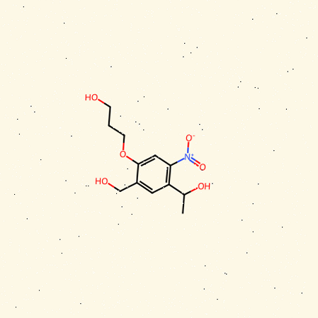 CC(O)c1cc(CO)c(OCCCO)cc1[N+](=O)[O-]